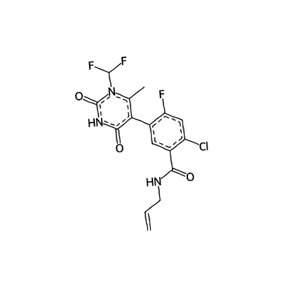 C=CCNC(=O)c1cc(-c2c(C)n(C(F)F)c(=O)[nH]c2=O)c(F)cc1Cl